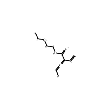 C=CC(=C=CC)C(=O)OCCOCC